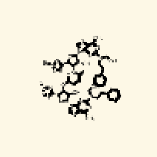 CCn1nnc([C@H]2O[C@@H](n3cnc4c(N)nc(N(CO)CCc5ccccc5)nc43)[C@H](O)[C@@H]2OC(=O)/C=C\C(=O)O[C@H]2[C@@H](O)[C@H](n3cnc4c(N)nc(N(CO)CCc5ccccc5)nc43)O[C@@H]2c2nnn(CC)n2)n1